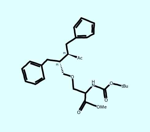 COC(=O)C(COC[C@H](Cc1ccccc1)[C@@H](Cc1ccccc1)C(C)=O)NC(=O)OC(C)(C)C